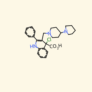 O=C(O)C1(Cl)C(CN2CCC(N3CCCCC3)CC2)=C(c2ccccc2)Nc2ccccc21